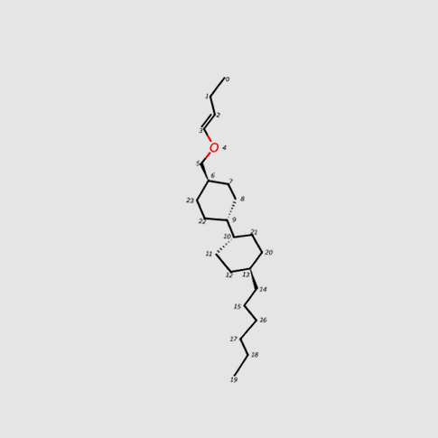 CCC=COC[C@H]1CC[C@H]([C@H]2CC[C@H](CCCCCC)CC2)CC1